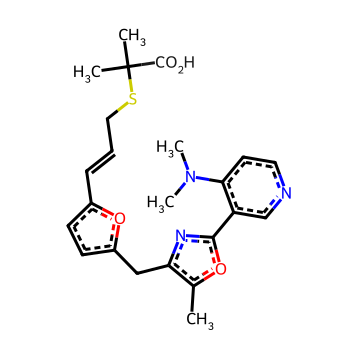 Cc1oc(-c2cnccc2N(C)C)nc1Cc1ccc(C=CCSC(C)(C)C(=O)O)o1